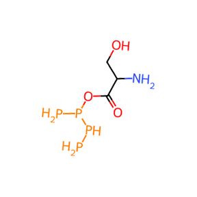 NC(CO)C(=O)OP(P)PP